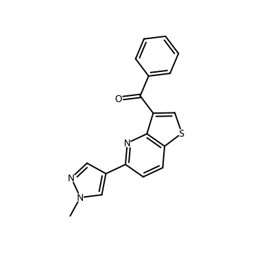 Cn1cc(-c2ccc3scc(C(=O)c4ccccc4)c3n2)cn1